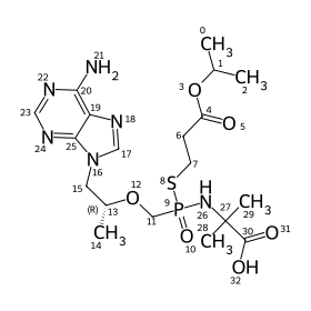 CC(C)OC(=O)CCSP(=O)(CO[C@H](C)Cn1cnc2c(N)ncnc21)NC(C)(C)C(=O)O